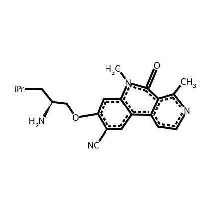 Cc1nccc2c1c(=O)n(C)c1cc(OC[C@@H](N)CC(C)C)c(C#N)cc21